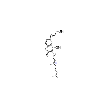 CC(C)=CCC/C(C)=C/COc1c(O)c2cc(OCCO)ccc2oc1=O